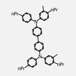 CCCc1ccc(N(c2ccc(-c3ccc(N(c4ccc(CCC)cc4)c4ccc(CCC)c(C)c4)cc3)cc2)c2ccc(CCC)c(C)c2)cc1